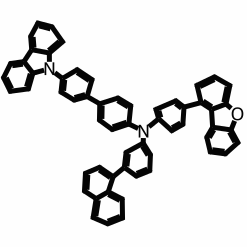 c1cc(-c2cccc3ccccc23)cc(N(c2ccc(-c3ccc(-n4c5ccccc5c5ccccc54)cc3)cc2)c2ccc(-c3cccc4oc5ccccc5c34)cc2)c1